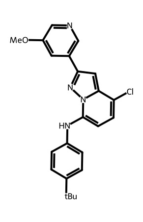 COc1cncc(-c2cc3c(Cl)ccc(Nc4ccc(C(C)(C)C)cc4)n3n2)c1